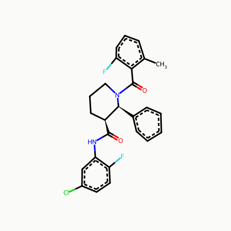 Cc1cccc(F)c1C(=O)N1CCC[C@H](C(=O)Nc2cc(Cl)ccc2F)[C@@H]1c1ccccc1